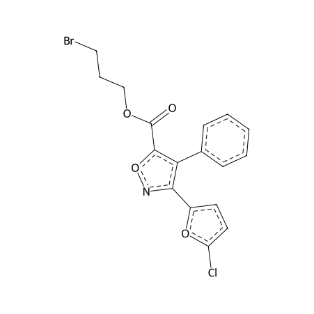 O=C(OCCCBr)c1onc(-c2ccc(Cl)o2)c1-c1ccccc1